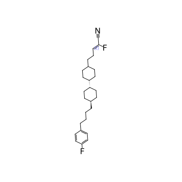 N#C/C(F)=C/CCC1CCC([C@H]2CC[C@H](CCCCc3ccc(F)cc3)CC2)CC1